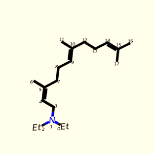 CCN(CC)C/C=C(/C)CC/C=C(\C)CCC=C(C)C